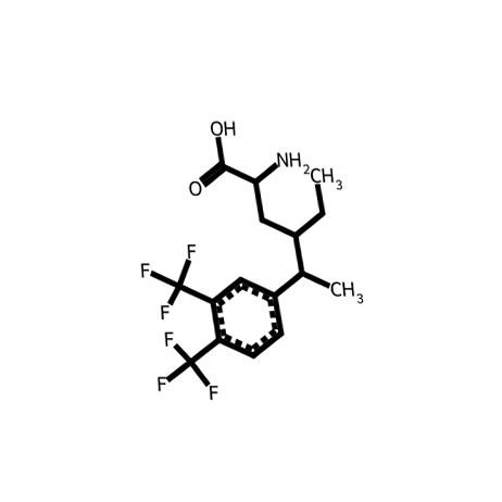 CCC(CC(N)C(=O)O)C(C)c1ccc(C(F)(F)F)c(C(F)(F)F)c1